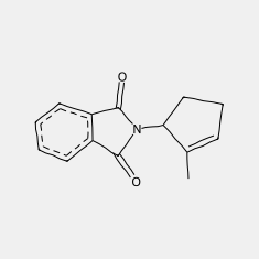 CC1=CCCC1N1C(=O)c2ccccc2C1=O